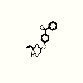 C=CC(=O)OC(CO)Oc1ccc(C(=O)c2ccccc2)cc1